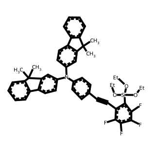 CCO[Si](OCC)(OCC)c1c(F)c(F)c(F)c(F)c1C#Cc1ccc(N(c2ccc3c(c2)C(C)(C)c2ccccc2-3)c2ccc3c(c2)C(C)(C)c2ccccc2-3)cc1